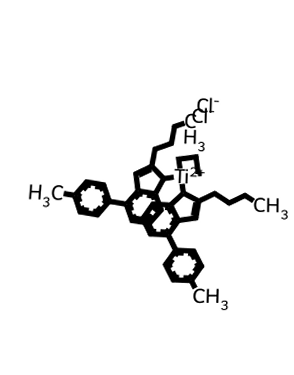 CCCCC1=Cc2c(-c3ccc(C)cc3)cccc2[CH]1[Ti+2]1([CH]2C(CCCC)=Cc3c(-c4ccc(C)cc4)cccc32)[CH2]C[CH2]1.[Cl-].[Cl-]